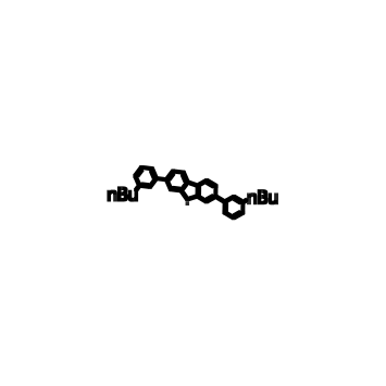 CCCCc1cccc(-c2ccc3c(c2)[CH]c2cc(-c4cccc(CCCC)c4)ccc2-3)c1